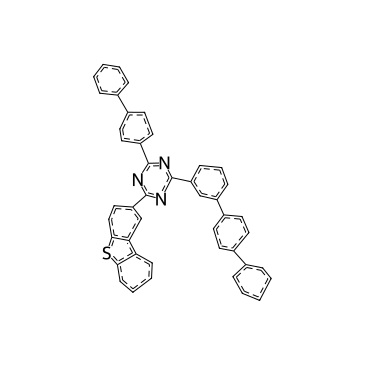 c1ccc(-c2ccc(-c3cccc(-c4nc(-c5ccc(-c6ccccc6)cc5)nc(-c5ccc6sc7ccccc7c6c5)n4)c3)cc2)cc1